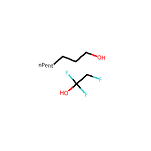 CCCCCCCCO.OC(F)(F)CF